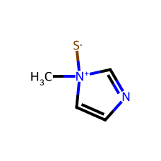 C[N+]1([S])C=CN=C1